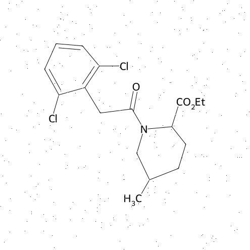 CCOC(=O)C1CCC(C)CN1C(=O)Cc1c(Cl)cccc1Cl